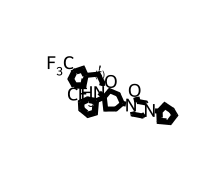 C[C@H](C(=O)NC1(c2ccccc2)CCC(N2CCN(c3ccccc3)CC2=O)CC1)c1cc(C(F)(F)F)cc(C(F)(F)F)c1